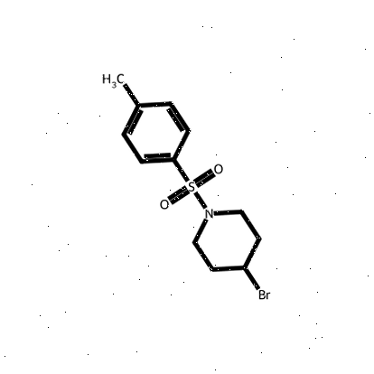 Cc1ccc(S(=O)(=O)N2CCC(Br)CC2)cc1